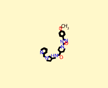 COc1ccc(-c2noc(N3CCC(C(=O)NCC4CCN(Cc5ccccn5)C4)CC3)n2)cc1